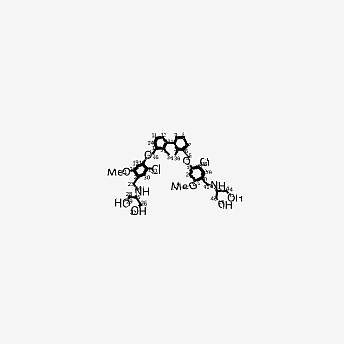 COc1cc(OCc2cccc(-c3cccc(COc4cc(OC)c(CNC(CO)CO)cc4Cl)c3C)c2C)c(Cl)cc1CNC(CO)CO